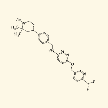 CC(=O)N1CCC(c2ccc(CNc3ccc(OCc4ccc(C(F)F)nc4)nn3)cc2)CC1(C)C